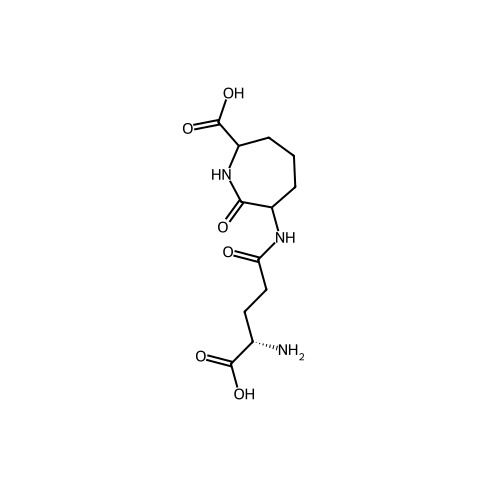 N[C@@H](CCC(=O)NC1CCCC(C(=O)O)NC1=O)C(=O)O